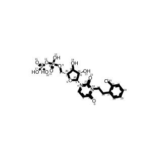 O=c1ccn([C@@H]2O[C@H](COP(=O)(O)OP(=O)(O)O)C(O)[C@@H]2O)c(=O)n1CCc1ccccc1Cl